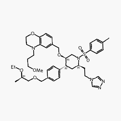 CCO[C@H](C)COCc1ccc([C@H]2C[C@H](CCn3cnnc3)N(S(=O)(=O)c3ccc(C)cc3)C[C@@H]2OCc2ccc3c(c2)N(CCCOC)CCO3)cc1